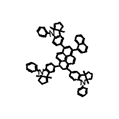 CC12CCCC1(C)N(c1ccccc1)c1ccc(-c3cc(-c4ccc5c(c4)C4(C)CCCC4(C)N5c4ccccc4)c4ccc5c(-c6cccc7ccccc67)cc(-c6ccc7c(c6)C6(C)CCCC6(C)N7c6ccccc6)c6ccc3c4c65)cc12